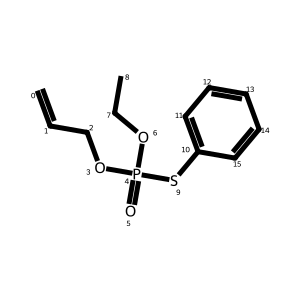 C=CCOP(=O)(OCC)Sc1ccccc1